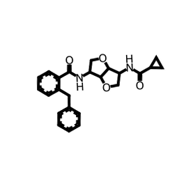 O=C(NC1COC2C(NC(=O)C3CC3)COC12)c1ccccc1Cc1ccccc1